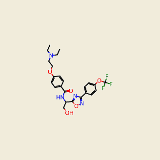 CCN(CC)CCOc1ccc(C(=O)NC(CO)c2nc(-c3ccc(OC(F)(F)F)cc3)no2)cc1